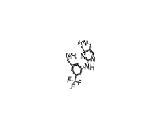 N=Cc1cc(Nc2ncc3c(n2)CNC3)cc(C(F)(F)F)c1